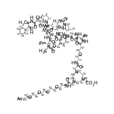 CC[C@H](C)[C@@H]([C@@H](CC(=O)N1CCC[C@H]1[C@H](OC)[C@@H](C)C(=O)N[C@H](C)[C@@H](O)c1ccccc1)OC)N(C)C(=O)[C@@H](NC(=O)[C@H](C(C)C)N(C)C(=O)OCc1ccc(NC(=O)[C@H](CCCNC(N)=O)NC(=O)[C@@H](NC(=O)CCOCCNC(=O)CN2CCN(CC(=O)O)CCN(CC(=O)NCCOCCOCCOCCOCCC(C)=O)CC2)C(C)C)cc1)C(C)C